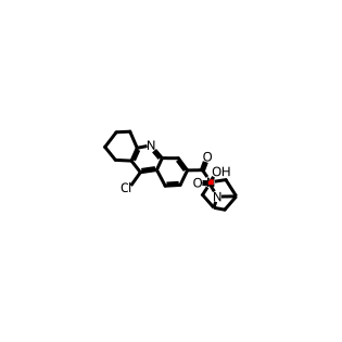 O=C(c1ccc2c(Cl)c3c(nc2c1)CCCC3)N1CC2CC(C1)N2C(=O)O